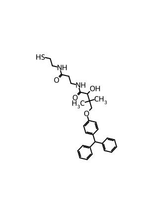 CC(C)(COc1ccc(C(c2ccccc2)c2ccccc2)cc1)C(O)C(=O)NCCC(=O)NCCS